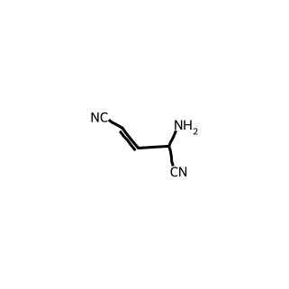 N#CC=CC(N)C#N